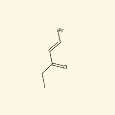 CC(C)/C=C/C(=O)CI